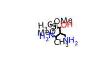 CO[Si](C)(OC)C(O)C(CN)C(C)N